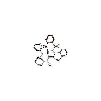 O=C(c1ccccc1)c1c(C(=O)c2ccccc2)c(C(=O)c2ccccc2)c2c(ccc3ccccc32)c1C(=O)c1ccccc1